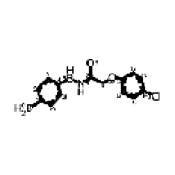 Bc1ccc(BNC(=O)COc2ccc(Cl)cc2)cc1